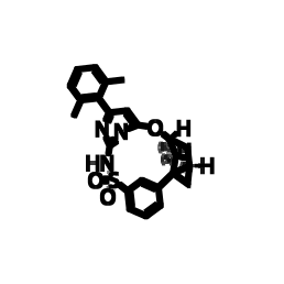 Cc1cccc(C)c1-c1cc2nc(n1)NS(=O)(=O)c1cccc(c1)C13C[C@@H]1C[C@@H](O2)[C@H]3C